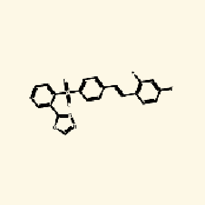 O=S(=O)(c1ccc(C=Cc2ccc(F)cc2F)cc1)c1ccccc1-c1nnco1